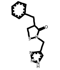 O=C1C(Cc2ccccc2)CSN1Cc1c[nH]nn1